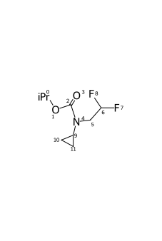 CC(C)OC(=O)N(CC(F)F)C1CC1